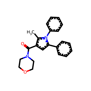 Cc1c(C(=O)N2CCOCC2)cc(-c2ccccc2)n1-c1ccccc1